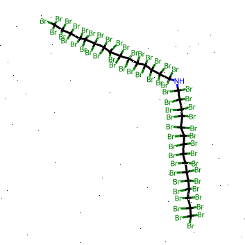 BrC(Br)(Br)C(Br)(Br)C(Br)(Br)C(Br)(Br)C(Br)(Br)C(Br)(Br)C(Br)(Br)C(Br)(Br)C(Br)(Br)C(Br)(Br)C(Br)(Br)C(Br)(Br)C(Br)(Br)C(Br)(Br)C(Br)(Br)NC(Br)(Br)C(Br)(Br)C(Br)(Br)C(Br)(Br)C(Br)(Br)C(Br)(Br)C(Br)(Br)C(Br)(Br)C(Br)(Br)C(Br)(Br)C(Br)(Br)C(Br)(Br)C(Br)(Br)C(Br)(Br)C(Br)(Br)Br